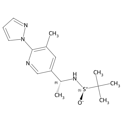 Cc1cc([C@@H](C)N[S@+]([O-])C(C)(C)C)cnc1-n1cccn1